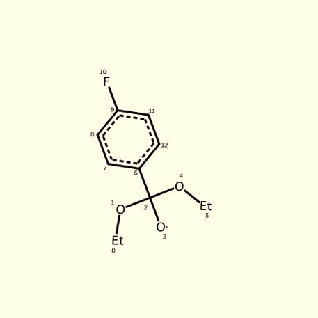 CCOC([O])(OCC)c1ccc(F)cc1